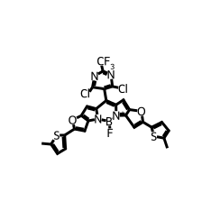 Cc1ccc(-c2cc3c(o2)=CC2=C(c4c(Cl)nc(C(F)(F)F)nc4Cl)c4cc5oc(-c6ccc(C)s6)cc5n4B(F)[N+]=32)s1